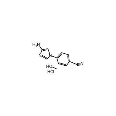 CO.Cl.N#Cc1ccc(-n2cnc(N)c2)cc1